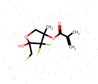 C=C(C)C(=O)OC1(C)COC(O)(CF)C1(F)F